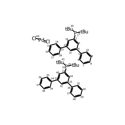 CC(C)(C)P(c1cc(-c2ccccc2)cc(-c2ccccc2)c1)C(C)(C)C.CC(C)(C)P(c1cc(-c2ccccc2)cc(-c2ccccc2)c1)C(C)(C)C.[Cl][Pd][Cl]